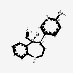 C=C[C@@]1(O)c2ccccc2OCC[C@@H]1c1ccc(C)nc1